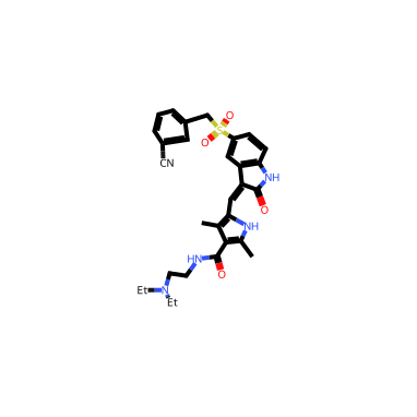 CCN(CC)CCNC(=O)c1c(C)[nH]c(/C=C2\C(=O)Nc3ccc(S(=O)(=O)Cc4cccc(C#N)c4)cc32)c1C